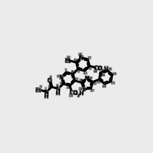 CCNC(=O)Nc1ncc(-c2cc(C(=O)O)cnc2CC)c(-c2nc(-c3ccccc3)cs2)c1C(=O)O